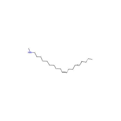 CCCCCCCC/C=C\CCCCCCCCCNC